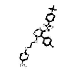 Cc1ccc(-c2c(NS(=O)(=O)c3ccc(C(C)(C)C)cc3)ncnc2OCCOc2ccc(N)cn2)cc1